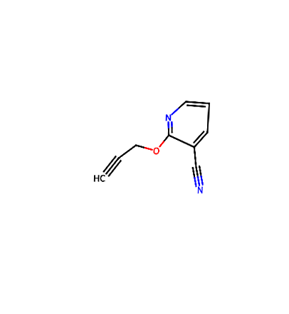 C#CCOc1ncccc1C#N